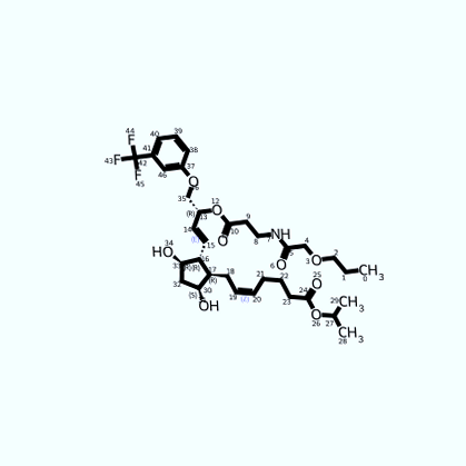 CCCOCC(=O)NCCC(=O)O[C@H](/C=C/[C@@H]1[C@@H](C/C=C\CCCC(=O)OC(C)C)[C@@H](O)C[C@H]1O)COc1cccc(C(F)(F)F)c1